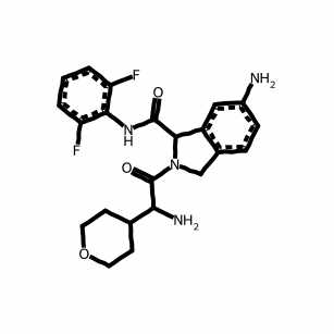 Nc1ccc2c(c1)C(C(=O)Nc1c(F)cccc1F)N(C(=O)C(N)C1CCOCC1)C2